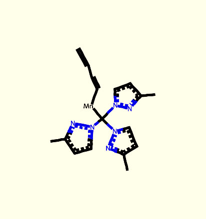 C=CC=[CH][Mn][C](n1ccc(C)n1)(n1ccc(C)n1)n1ccc(C)n1